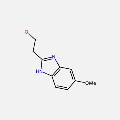 COc1ccc2[nH]c(CC[O])nc2c1